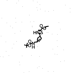 CCOC(=O)C1=CNC(C2CCN(CCNC(=O)OC(C)(C)C)C2)S1